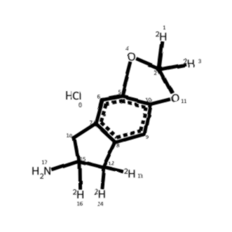 Cl.[2H]C1([2H])Oc2cc3c(cc2O1)C([2H])([2H])C([2H])(N)C3